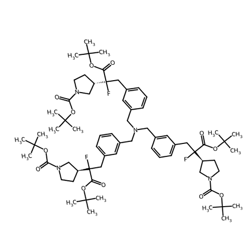 CC(C)(C)OC(=O)N1CC[C@H](C(F)(Cc2cccc(CN(Cc3cccc(CC(F)(C(=O)OC(C)(C)C)[C@H]4CCN(C(=O)OC(C)(C)C)C4)c3)Cc3cccc(CC(F)(C(=O)OC(C)(C)C)[C@H]4CCN(C(=O)OC(C)(C)C)C4)c3)c2)C(=O)OC(C)(C)C)C1